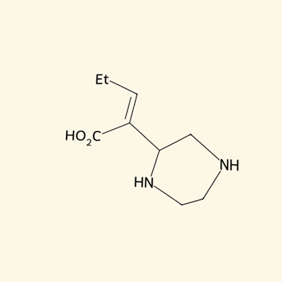 CC/C=C(\C(=O)O)C1CNCCN1